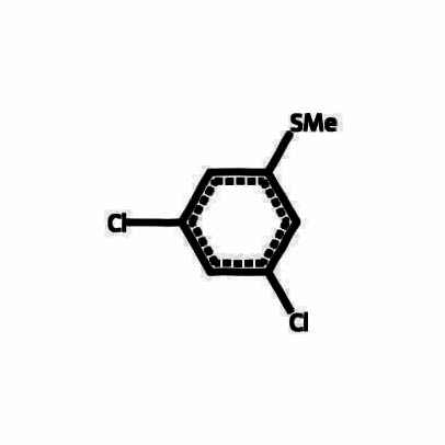 CSc1cc(Cl)cc(Cl)c1